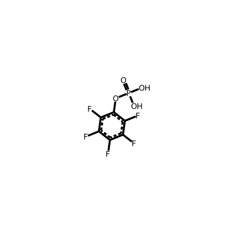 O=P(O)(O)Oc1c(F)c(F)c(F)c(F)c1F